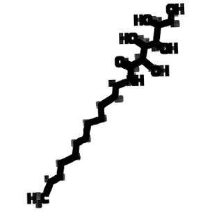 CCCCCCCCCCCCNC(=O)C(O)C(O)C(O)C(O)CO